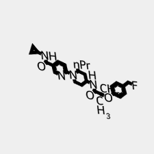 CCCC1CC(NC(=O)C(C)(C)Oc2ccc(CF)cc2)CCN1c1ccc(C(=O)NC2CC2)cn1